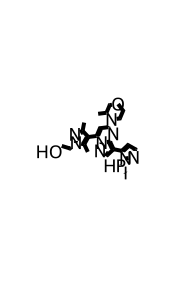 Cc1nn(CCO)c(C)c1-c1cc(N2CCOCC2C)nc2c(-c3ccnn3PI)cnn12